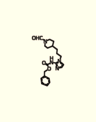 O=CN1CCC(CCCn2ccnc2NC(=O)OCc2ccccc2)CC1